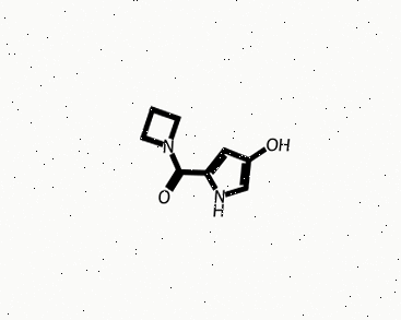 O=C(c1cc(O)c[nH]1)N1CCC1